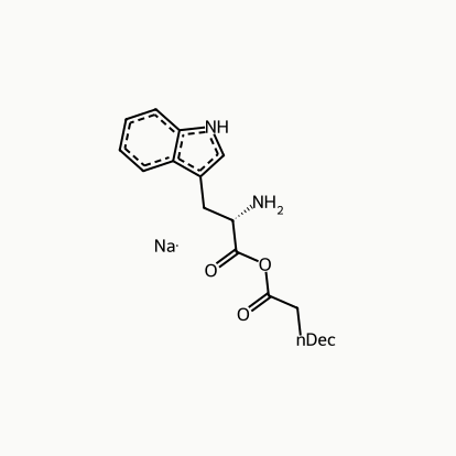 CCCCCCCCCCCC(=O)OC(=O)[C@@H](N)Cc1c[nH]c2ccccc12.[Na]